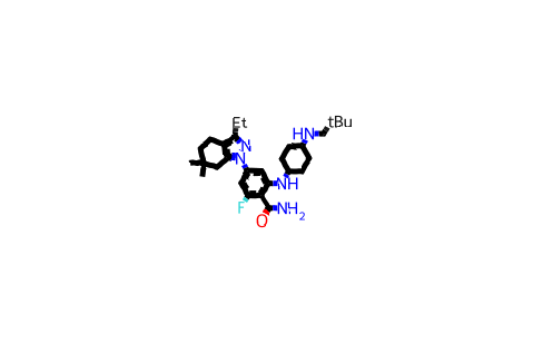 CCc1nn(-c2cc(F)c(C(N)=O)c(NC3CCC(NCC(C)(C)C)CC3)c2)c2c1CCC(C)(C)C2